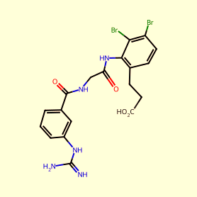 N=C(N)Nc1cccc(C(=O)NCC(=O)Nc2c(CCC(=O)O)ccc(Br)c2Br)c1